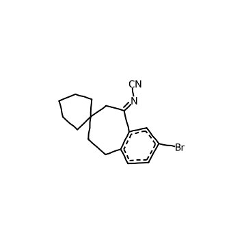 N#C/N=C1\CC2(CCCCC2)CCc2ccc(Br)cc21